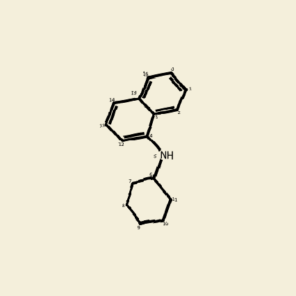 c1ccc2c(NC3CCCCC3)cccc2c1